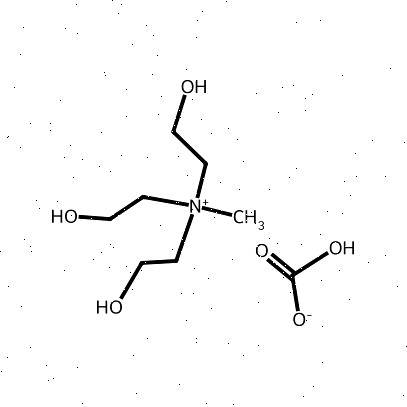 C[N+](CCO)(CCO)CCO.O=C([O-])O